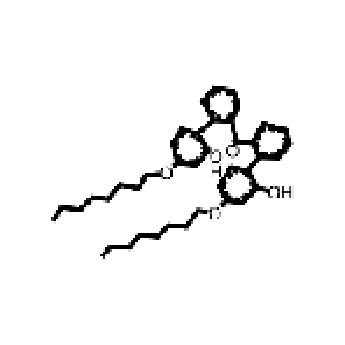 CCCCCCCCOc1ccc(-c2ccccc2C(=O)c2ccccc2-c2ccc(OCCCCCCCC)cc2O)c(O)c1